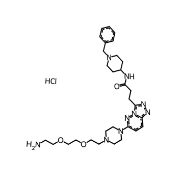 Cl.NCCOCCOCCN1CCN(c2ccc3nnc(CCC(=O)NC4CCN(Cc5ccccc5)CC4)n3n2)CC1